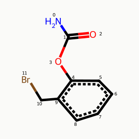 NC(=O)Oc1ccccc1CBr